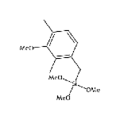 COc1c(C)ccc(C[Si](OC)(OC)OC)c1C